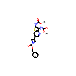 CC(C)(C)OC(=O)Nc1sc2cc(C3CN(C(=O)OCc4ccccc4)C3)cnc2c1NC(=O)OC(C)(C)C